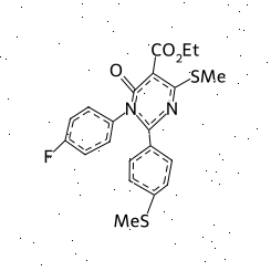 CCOC(=O)c1c(SC)nc(-c2ccc(SC)cc2)n(-c2ccc(F)cc2)c1=O